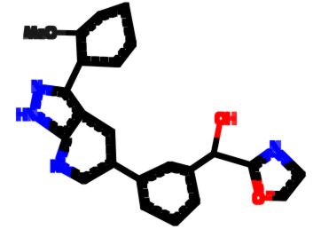 COc1ccccc1-c1n[nH]c2ncc(-c3cccc(C(O)c4ncco4)c3)cc12